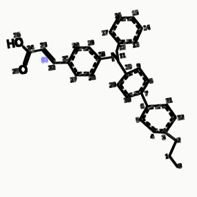 CCCc1ccc(-c2ccc(N(c3ccccc3)c3ccc(/C=C/C(=O)O)cc3)cc2)cc1